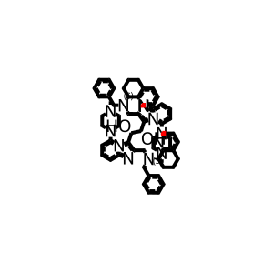 CN1CCN(c2cccc3nc(CN(Cc4ccccc4)[C@H]4CCCc5cccnc54)c(C(O)C(O)c4c(CN(Cc5ccccc5)[C@H]5CCCc6cccnc65)nc5cccc(N6CCN(C)CC6)n45)n23)CC1